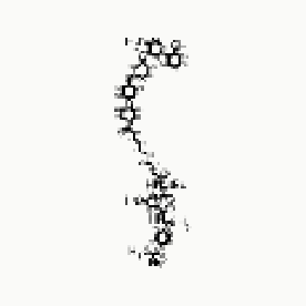 Cc1ncsc1-c1ccc(C(C)NC(=O)C2CC(O)CN2C(=O)C(NC(=O)CCCCCCCCC(=O)N2CCN(c3ccc(CN4CCCC(Oc5cc(-c6ccccc6O)nnc5N)C4)cc3)CC2)C(C)(C)C)cc1